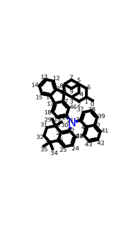 CC1CC2CC3(C1)CC(C3)C21c2ccccc2-c2ccc(N(c3cccc4c3C(C)(C)CCC4(C)C)c3cccc4ccccc34)cc21